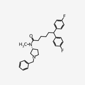 CN(C(=O)CCCCC(c1ccc(F)cc1)c1ccc(F)cc1)[C@@H]1CCN(Cc2ccccc2)C1